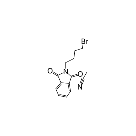 CC#N.O=C1c2ccccc2C(=O)N1CCCCBr